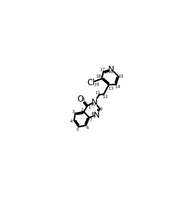 O=c1c2ccccc2ncn1CCc1ccncc1Cl